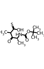 CC(C(=O)[C@H](C)NC(=O)OC(C)(C)C)C(O)=S